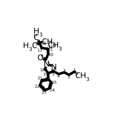 CCCCCC1=NN(C(=O)CC(C)CC(C)(C)C)CC1c1ccccc1